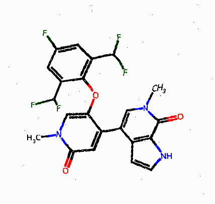 Cn1cc(Oc2c(C(F)F)cc(F)cc2C(F)F)c(-c2cn(C)c(=O)c3[nH]ccc23)cc1=O